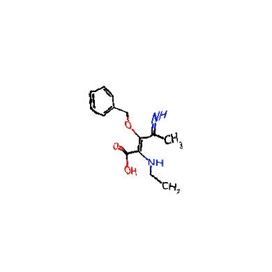 CCN/C(C(=O)O)=C(/OCc1ccccc1)C(C)=N